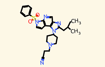 CCC(C)Cc1nc2cnc3c(ccn3S(=O)(=O)c3ccccc3)c2n1C1CCN(CCC#N)CC1